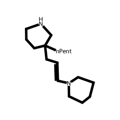 CCCCCC1(CC=CN2CCCCC2)CCCNC1